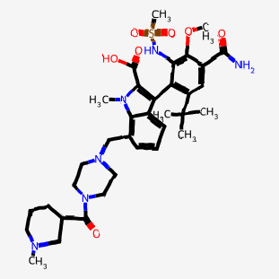 COc1c(C(N)=O)cc(C(C)(C)C)c(-c2c(C(=O)O)n(C)c3c(CN4CCN(C(=O)C5CCCN(C)C5)CC4)cccc23)c1NS(C)(=O)=O